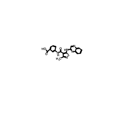 Cc1nsc(Nc2cnc3ccccc3n2)c1C(=O)Nc1cccc(C(=O)O)c1